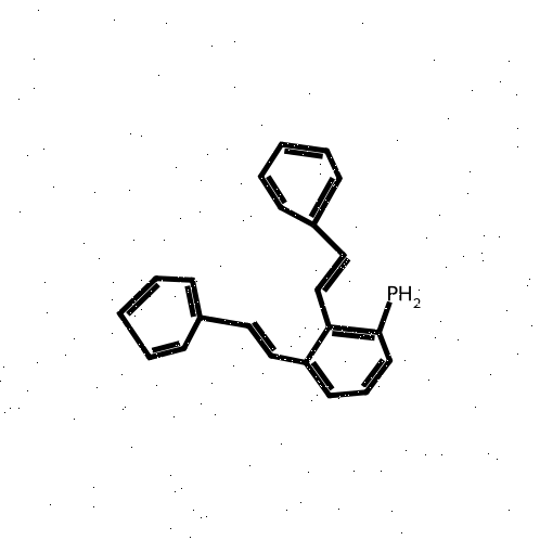 Pc1cccc(C=Cc2ccccc2)c1C=Cc1ccccc1